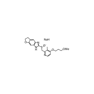 COCCCOc1ccnc(C[S@@+]([O-])c2nc3cc4c(cc3[nH]2)OCC4)c1C.[NaH]